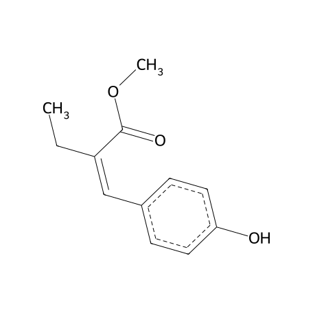 CCC(=Cc1ccc(O)cc1)C(=O)OC